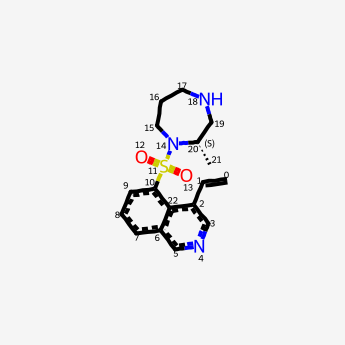 C=Cc1cncc2cccc(S(=O)(=O)N3CCCNC[C@@H]3C)c12